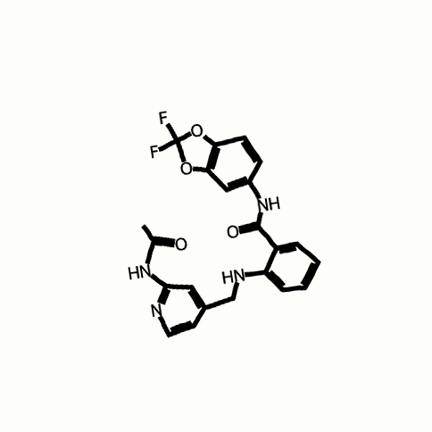 CC(=O)Nc1cc(CNc2ccccc2C(=O)Nc2ccc3c(c2)OC(F)(F)O3)ccn1